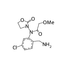 COCC(=O)N(c1cc(Cl)ccc1CN)N1CCOC1=O